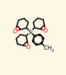 Cc1ccc([Si](C2CCCC3OC32)(C2CCCC3OC32)C2CCCC3OC32)cc1